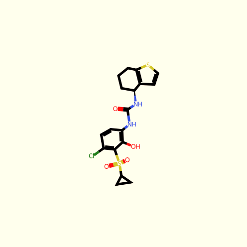 O=C(Nc1ccc(Cl)c(S(=O)(=O)C2CC2)c1O)N[C@H]1CCCc2sccc21